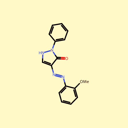 COc1ccccc1/N=N/c1c[nH]n(-c2ccccc2)c1=O